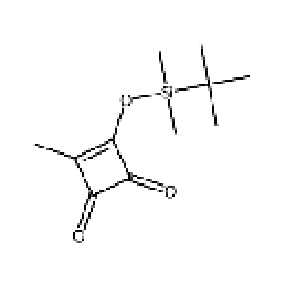 Cc1c(O[Si](C)(C)C(C)(C)C)c(=O)c1=O